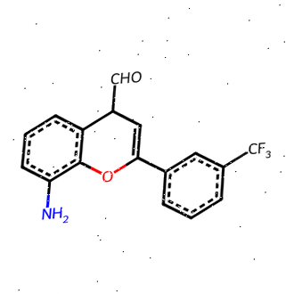 Nc1cccc2c1OC(c1cccc(C(F)(F)F)c1)=CC2C=O